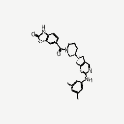 Cc1cc(C)cc(Nc2ncc3c(n2)CN(C2CCCN(C(=O)c4ccc5[nH]c(=O)oc5c4)C2)C3)c1